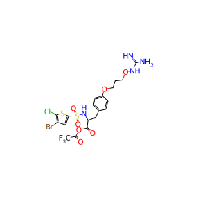 N=C(N)NOCCCOc1ccc(C[C@H](NS(=O)(=O)c2cc(Br)c(Cl)s2)C(=O)OC(=O)C(F)(F)F)cc1